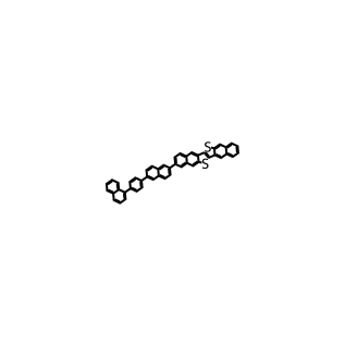 c1ccc2cc3c(cc2c1)sc1c2cc4ccc(-c5ccc6cc(-c7ccc(-c8cccc9ccccc89)cc7)ccc6c5)cc4cc2sc31